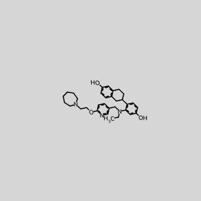 CCN(Cc1ccc(OCCN2CCCCCC2)nc1)c1cc(O)ccc1C1CCc2cc(O)ccc2C1